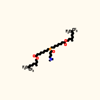 CC(CCC=C(C(F)(F)F)C(F)(F)F)CCOC(=O)CCCCCCCP(CCCCCCCC(=O)OCCC(C)CCC=C(C(F)(F)F)C(F)(F)F)C(=O)CCCN(C)C